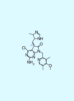 COc1c(C)cnc(CN2C(=O)/C(=C\C3NC=NC3C)c3c(Cl)nc(N)nc32)c1C